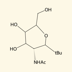 CC(=O)N[C@@H]1C(O)C(O)C(CO)OC1C(C)(C)C